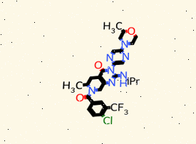 CC(C)Nc1nc2c(c(=O)n1-c1cnc(N3CCOC(C)C3)cn1)CC(C)N(C(=O)c1ccc(Cl)c(C(F)(F)F)c1)C2